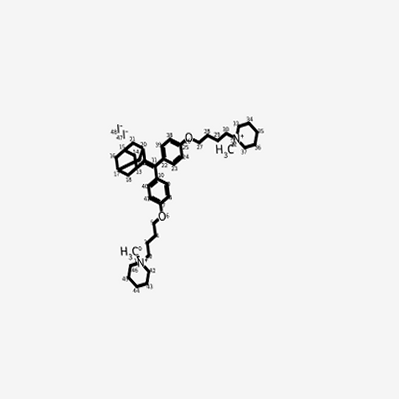 C[N+]1(CCCCOc2ccc(C(=C3C4CC5CC(C4)CC3C5)c3ccc(OCCCC[N+]4(C)CCCCC4)cc3)cc2)CCCCC1.[I-].[I-]